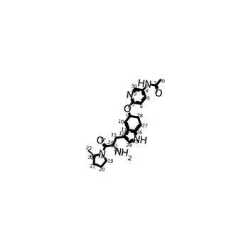 CC(=O)Nc1ccc(OC2C=c3c(C[C@H](N)C(=O)N4CCC[C@H]4C)c[nH]c3=CC2)nc1